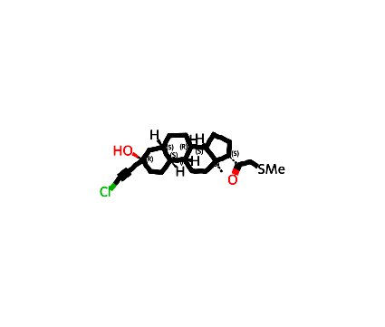 CSCC(=O)[C@H]1CC[C@H]2[C@@H]3CC[C@H]4C[C@@](O)(C#CCl)CC[C@@H]4[C@H]3CC[C@]12C